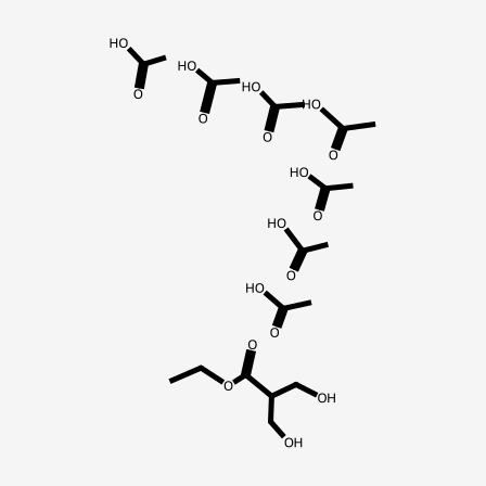 CC(=O)O.CC(=O)O.CC(=O)O.CC(=O)O.CC(=O)O.CC(=O)O.CC(=O)O.CCOC(=O)C(CO)CO